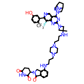 CC1(NCCCN2CCN(CCCNc3cccc4c3CN(C3CCC(=O)NC3=O)C4=O)CC2)CN(c2nc(N3CC4CCC(C3)N4)c3cnc(-c4cc(O)ccc4C(F)(F)F)c(F)c3n2)C1